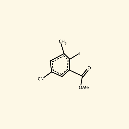 [C-]#[N+]c1cc(C)c(I)c(C(=O)OC)c1